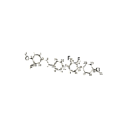 COc1ccc(CCc2ccc(-c3ccc(C4CCC(OC)CC4)c(F)c3F)cc2)cc1F